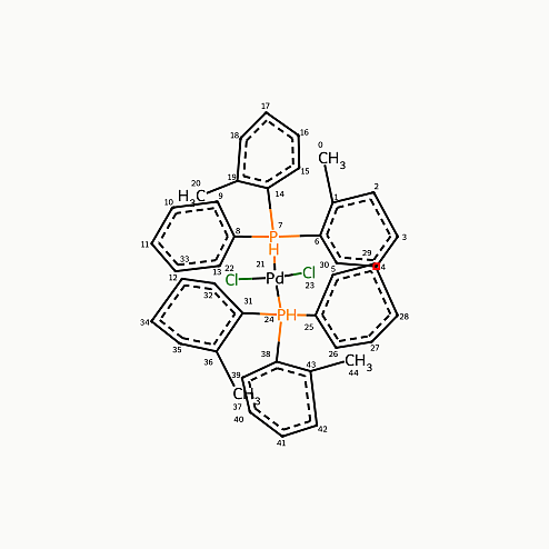 Cc1ccccc1[PH](c1ccccc1)(c1ccccc1C)[Pd]([Cl])([Cl])[PH](c1ccccc1)(c1ccccc1C)c1ccccc1C